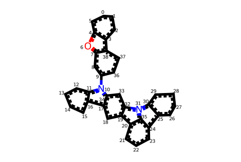 c1ccc2c(c1)oc1cc(-n3c4ccccc4c4cc5c6cccc7c8ccccc8n(c5cc43)c76)ccc12